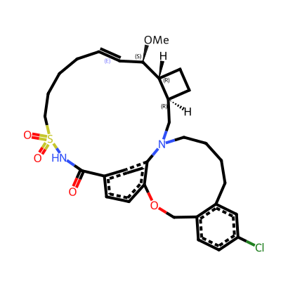 CO[C@@H]1/C=C/CCCCS(=O)(=O)NC(=O)c2ccc3c(c2)N(CCCCc2cc(Cl)ccc2CO3)C[C@@H]2CC[C@H]21